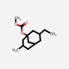 CCC1CC2CC(C)CC(OC(=O)OC)(C1)C2